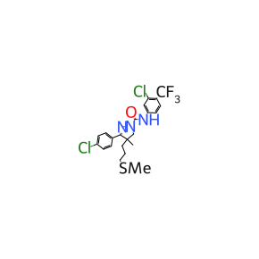 CSCCCC1(C)CN(C(=O)Nc2ccc(C(F)(F)F)c(Cl)c2)N=C1c1ccc(Cl)cc1